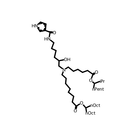 CCCCCCCCC(CCCCCCCC)OC(=O)CCCCCCCN(CCCCCC(=O)OC(CCCCC)C(C)C)CC(O)CCCCNC(=O)c1cc[nH]c1